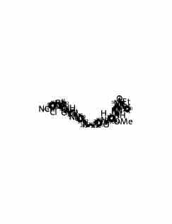 CC[C@@H]1C(=O)N(C)c2cnc(Nc3ccc(C(=O)NC4CCN(CCCN(C)CC5CCN(c6ncc(C(=O)NC7C(C)(C)C(Oc8ccc(C#N)c(Cl)c8)C7(C)C)cn6)CC5)CC4)cc3OC)nc2N1C1CCCC1